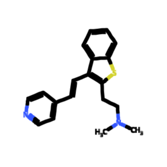 CN(C)CCc1sc2ccccc2c1C=Cc1ccncc1